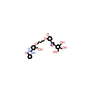 COc1ccc(-c2cc(-c3cc(CO)c(CO)c(CO)c3)on2)cc1OCCCCCOc1ccc(C2NC(=O)c3ccccc3N2)cc1CO